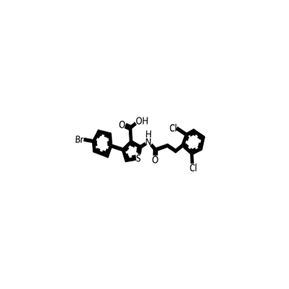 O=C(CCc1c(Cl)cccc1Cl)Nc1scc(-c2ccc(Br)cc2)c1C(=O)O